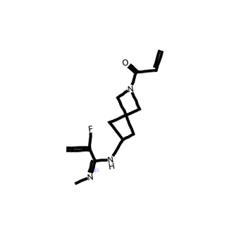 C=CC(=O)N1CC2(CC(N/C(=N/C)C(=C)F)C2)C1